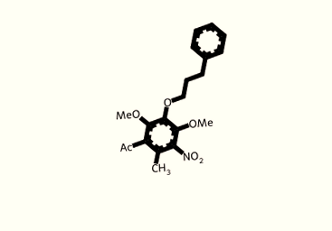 COc1c(OCCCc2ccccc2)c(OC)c([N+](=O)[O-])c(C)c1C(C)=O